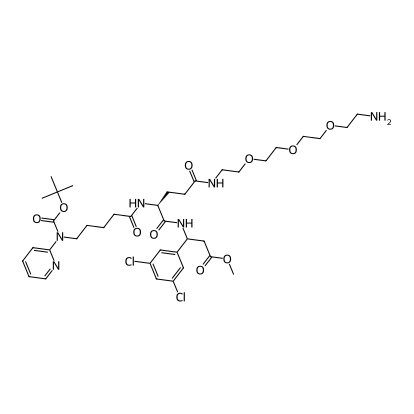 COC(=O)CC(NC(=O)[C@H](CCC(=O)NCCOCCOCCOCCN)NC(=O)CCCCN(C(=O)OC(C)(C)C)c1ccccn1)c1cc(Cl)cc(Cl)c1